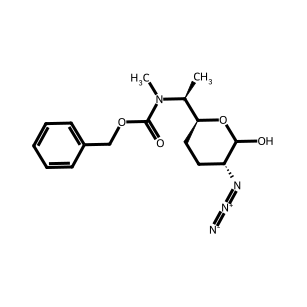 C[C@@H]([C@@H]1CC[C@@H](N=[N+]=[N-])C(O)O1)N(C)C(=O)OCc1ccccc1